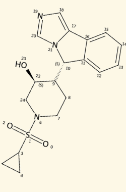 O=S(=O)(C1CC1)N1CCC([C@H]2c3ccccc3-c3cncn32)[C@H](O)C1